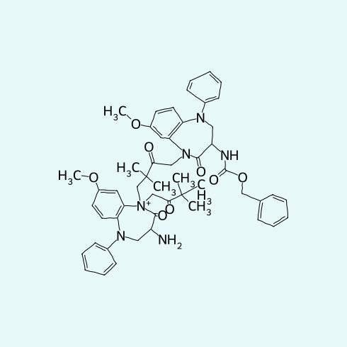 COc1ccc2c(c1)N(CC(=O)C(C)(C)C[N+]1(CC(=O)C(C)(C)C)C(=O)C(N)CN(c3ccccc3)c3ccc(OC)cc31)C(=O)C(NC(=O)OCc1ccccc1)CN2c1ccccc1